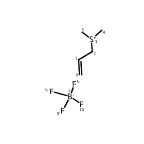 C=CC[S+](C)C.F[B-](F)(F)F